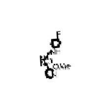 COc1ncccc1-c1nnc(CNc2ccc(F)cc2)o1